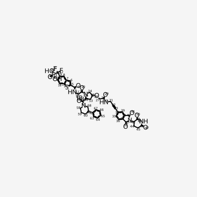 CC(C)(C)[C@H](NC(=O)c1cc2cc(C(F)(F)P(=O)(O)O)ccc2s1)C(=O)N1C[C@@H](OCC(=O)NCC#Cc2ccc3c(c2)C(=O)N(C2CCC(=O)NC2=O)C3=O)C[C@H]1C(=O)N1CCC[C@H](c2ccccc2)C1